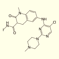 CN1CCN(c2ncc(Cl)c(Nc3ccc4c(c3)CC(C(=O)NI)C(=O)N4C)n2)CC1